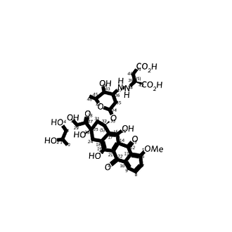 CC(O)CO.COc1cccc2c1C(=O)c1c(O)c3c(c(O)c1C2=O)C[C@@](O)(C(=O)CO)C[C@@H]3OC1CC(NN[C@@H](CC(=O)O)C(=O)O)C(O)C(C)O1